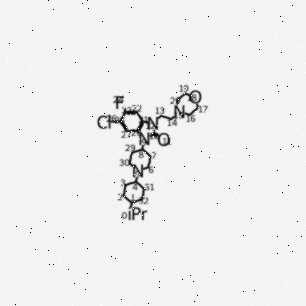 CC(C)C1CCC(N2CCC(n3c(=O)n(CCN4CCOCC4)c4cc(F)c(Cl)cc43)CC2)CC1